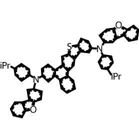 CC(C)c1ccc(N(c2ccc3oc4ccccc4c3c2)c2ccc3sc4cc5c6ccc(N(c7ccc(C(C)C)cc7)c7ccc8oc9ccccc9c8c7)cc6c6ccccc6c5cc4c3c2)cc1